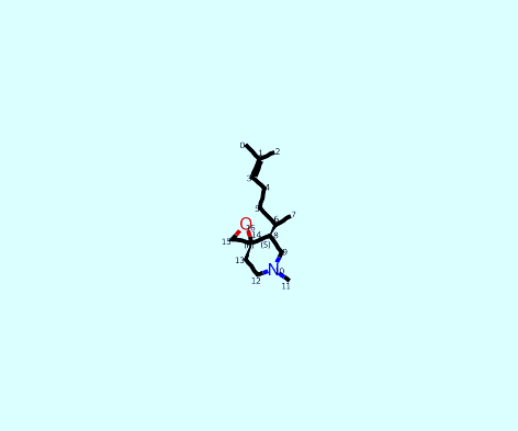 CC(C)=CCCC(C)[C@H]1CN(C)CC[C@]12CO2